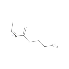 C=C(CCCC(F)(F)F)/N=C\C